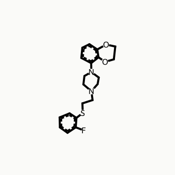 Fc1ccccc1SCCN1CCN(c2cccc3c2OCCO3)CC1